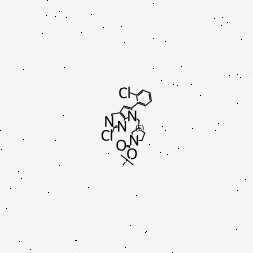 CC(C)(C)OC(=O)N1CC[C@H](Cn2c(-c3ccccc3Cl)cc3cnc(Cl)nc32)C1